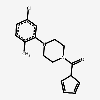 Cc1ccc(Cl)cc1N1CCN(C(=O)C2C=CC=C2)CC1